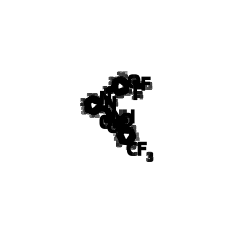 O=C(NS(=O)(=O)c1ccc(C(F)(F)F)cc1)c1nn(Cc2ccc(OC(F)F)cc2)c2ccccc12